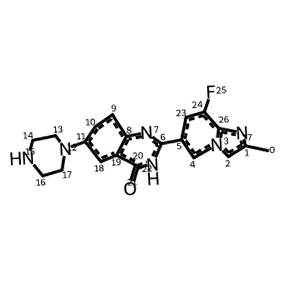 Cc1cn2cc(-c3nc4ccc(N5CCNCC5)cc4c(=O)[nH]3)cc(F)c2n1